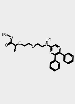 CC(C)N(CCOCCOC(F)C(=O)OC(C)(C)C)c1cnc(-c2ccccc2)c(-c2ccccc2)n1